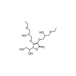 CCOCC(O)COC1=C(OCC(O)COCC)C(C(O)CO)OC1=O